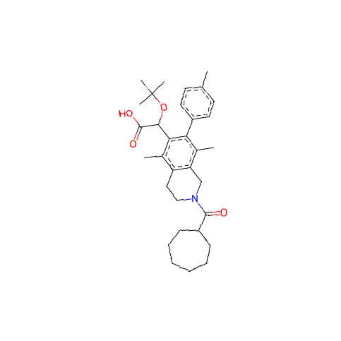 Cc1ccc(-c2c(C)c3c(c(C)c2C(OC(C)(C)C)C(=O)O)CCN(C(=O)C2CCCCCC2)C3)cc1